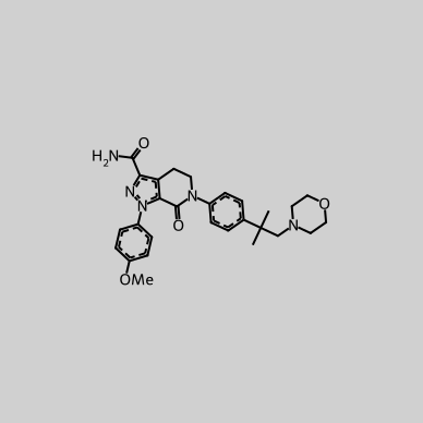 COc1ccc(-n2nc(C(N)=O)c3c2C(=O)N(c2ccc(C(C)(C)CN4CCOCC4)cc2)CC3)cc1